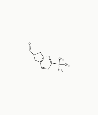 CC(C)(C)c1ccc2c(c1)CC(C=O)C2